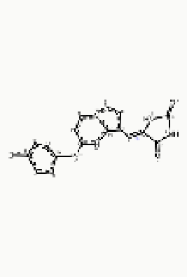 O=C1NC(=O)/C(=C/c2cnn3ccc(Nc4ccc(Cl)cc4)nc23)N1